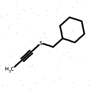 CC#CSCC1CCCCC1